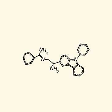 N/C(=N\C[C@H](N)c1ccc2c(c1)c1ccccc1n2-c1ccccc1)c1ccccc1